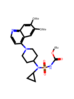 COc1cc2nccc(N3CCC(N(C4CC4)S(=O)(=O)NC(=O)OC(C)(C)C)CC3)c2cc1OC